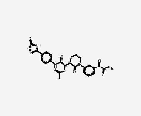 COC(=O)C(=O)c1cccc(N2CCO[C@H]([C@@H](OC(C)=O)C(=O)Nc3ccc(-c4noc(=O)[nH]4)cc3)C2=O)c1